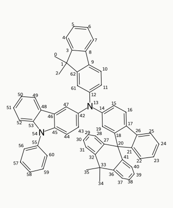 CC1(C)c2ccccc2-c2ccc(N(c3ccc4c(c3)C3(c5ccccc5-4)c4ccccc4C(C)(C)c4ccccc43)c3ccc4c(c3)c3ccccc3n4-c3ccccc3)cc21